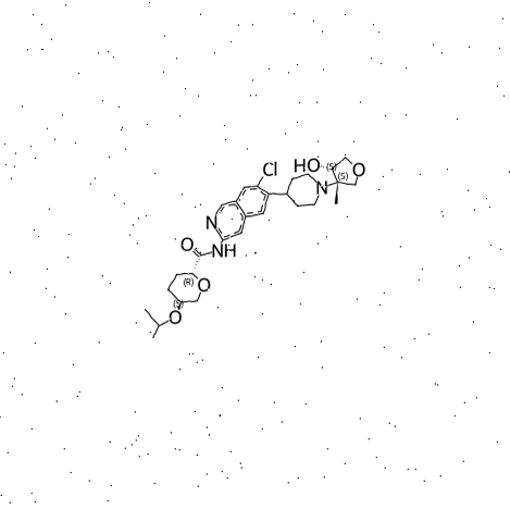 CC(C)O[C@H]1CC[C@H](C(=O)Nc2cc3cc(C4CCN([C@@]5(C)COC[C@H]5O)CC4)c(Cl)cc3cn2)OC1